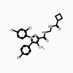 Cc1c(C(=O)NCNC(=O)C2CCC2)nn(-c2ccc(Cl)cc2Cl)c1-c1ccc(Cl)cc1